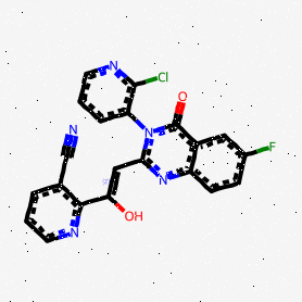 N#Cc1cccnc1/C(O)=C/c1nc2ccc(F)cc2c(=O)n1-c1cccnc1Cl